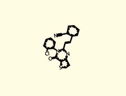 N#Cc1ccccc1C=Cc1nc2ccsc2c(=O)n1-c1ccccc1Cl